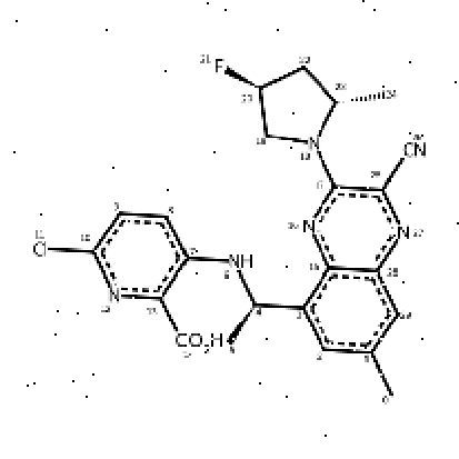 Cc1cc([C@@H](C)Nc2ccc(Cl)nc2C(=O)O)c2nc(N3C[C@@H](F)C[C@@H]3C)c(C#N)nc2c1